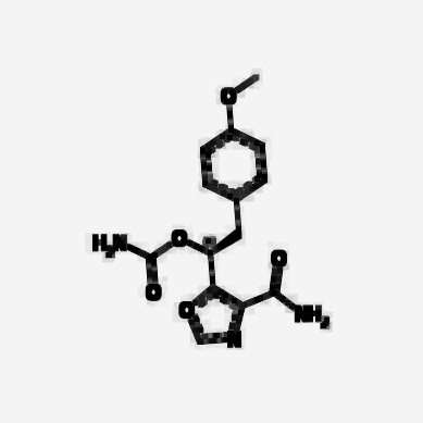 COc1ccc(C[C@H](OC(N)=O)c2ocnc2C(N)=O)cc1